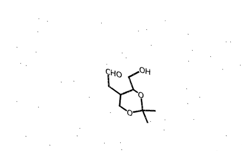 CC1(C)OCC(CC=O)C(CO)O1